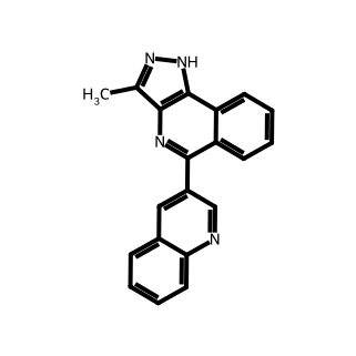 Cc1n[nH]c2c1nc(-c1cnc3ccccc3c1)c1ccccc12